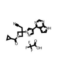 N#CCC1(n2cc(-c3ncnc4[nH]ccc34)cn2)CN(C(=O)C2CC2)C1.O=C(O)C(F)(F)F